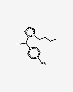 CCCCn1ccnc1C(O)c1ccc(N)cc1